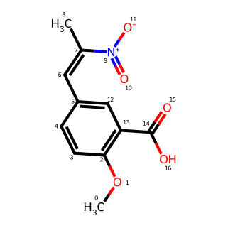 COc1ccc(C=C(C)[N+](=O)[O-])cc1C(=O)O